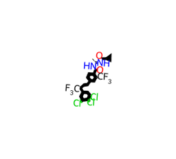 C[C@@H](NC(=O)c1ccc(C=CC(c2cc(Cl)c(Cl)c(Cl)c2)C(F)(F)F)cc1C(F)(F)F)NC(=O)C1CC1